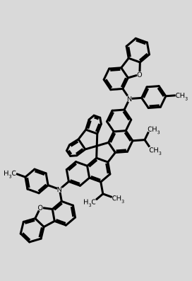 Cc1ccc(N(c2ccc3c4c(cc(C(C)C)c3c2)-c2cc(C(C)C)c3cc(N(c5ccc(C)cc5)c5cccc6c5oc5ccccc56)ccc3c2C42c3ccccc3-c3ccccc32)c2cccc3c2oc2ccccc23)cc1